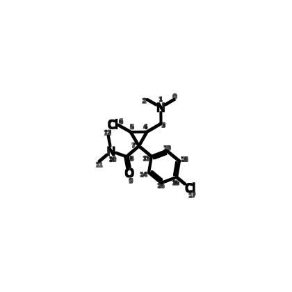 CN(C)CC1C(Cl)C1(C(=O)N(C)C)c1ccc(Cl)cc1